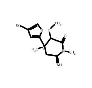 COC1C(=O)N(C)C(=N)C[C@]1(C)c1cc(Br)cs1